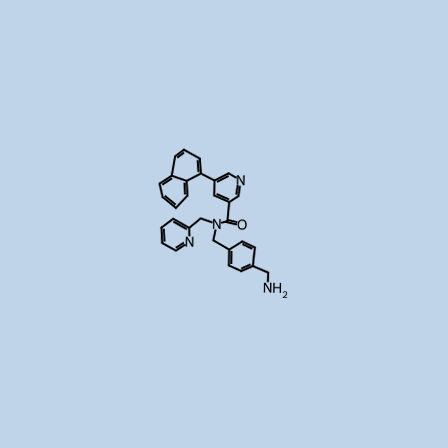 NCc1ccc(CN(Cc2ccccn2)C(=O)c2cncc(-c3cccc4ccccc34)c2)cc1